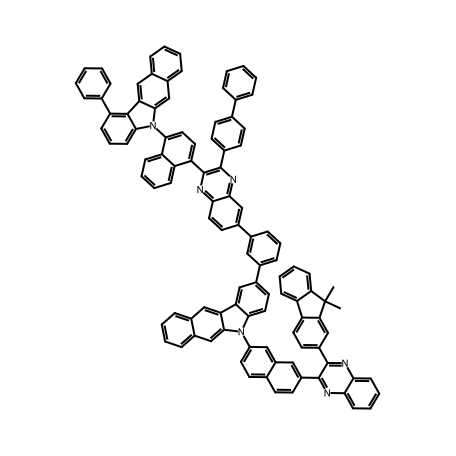 CC1(C)c2ccccc2-c2ccc(-c3nc4ccccc4nc3-c3ccc4ccc(-n5c6ccc(-c7cccc(-c8ccc9nc(-c%10ccc(-n%11c%12cc%13ccccc%13cc%12c%12c(-c%13ccccc%13)cccc%12%11)c%11ccccc%10%11)c(-c%10ccc(-c%11ccccc%11)cc%10)nc9c8)c7)cc6c6cc7ccccc7cc65)cc4c3)cc21